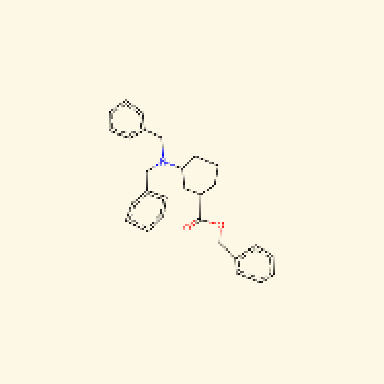 O=C(OCc1ccccc1)C1CCCC(N(Cc2ccccc2)Cc2ccccc2)C1